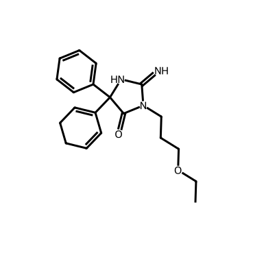 CCOCCCN1C(=N)NC(C2=CCCC=C2)(c2ccccc2)C1=O